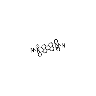 CN(C)CCN1C(=O)c2ccc3c4ccc5c6c(ccc(c7ccc(c2c37)C1=O)c64)C(=O)N(CCN(C)C)C5=O